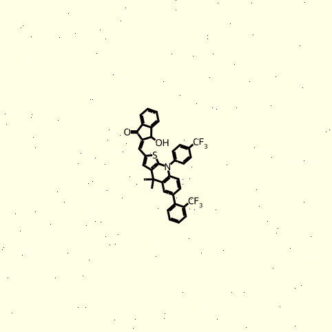 CC1(C)c2cc(-c3ccccc3C(F)(F)F)ccc2N(c2ccc(C(F)(F)F)cc2)c2sc(/C=C3/C(=O)c4ccccc4C3O)cc21